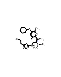 Cc1nc(/C(N)=C(\CNc2noc(CCC(C)C)n2)N(C)N)c(F)cc1OC1CCCCC1